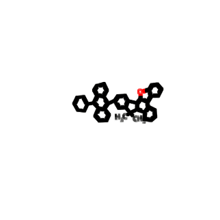 CC1(C)c2cc(-c3c4ccccc4c(C4=CC=CCC4)c4ccccc34)ccc2-c2c1c1ccccc1c1c2oc2ccccc21